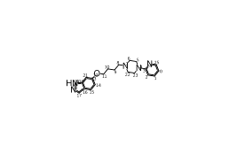 c1ccc(N2CCN(CCCCOc3ccc4cn[nH]c4c3)CC2)nc1